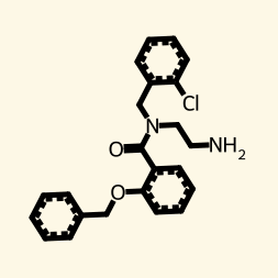 NCCN(Cc1ccccc1Cl)C(=O)c1ccccc1OCc1ccccc1